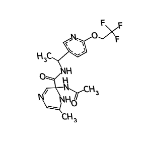 CC(=O)NC1(C(=O)NC(C)c2ccc(OCC(F)(F)F)nc2)C=NC=C(C)N1